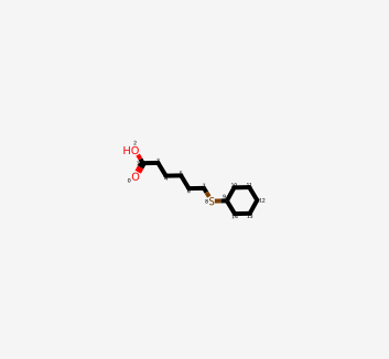 O=C(O)CCCCCSC1CCCCC1